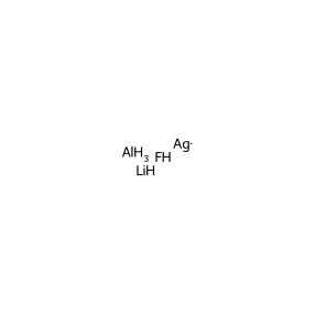 F.[Ag].[AlH3].[LiH]